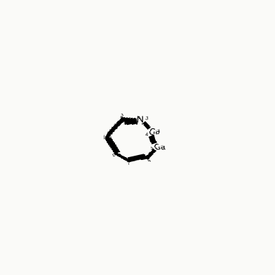 C1=CC=[N][Ga]=[Ga][CH]=C1